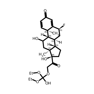 CCOC(O)(OCC)OCC(=O)[C@@]1(O)CC[C@H]2[C@@H]3C[C@H](F)C4=CC(=O)C=C[C@]4(C)[C@H]3C(O)C[C@@]21C